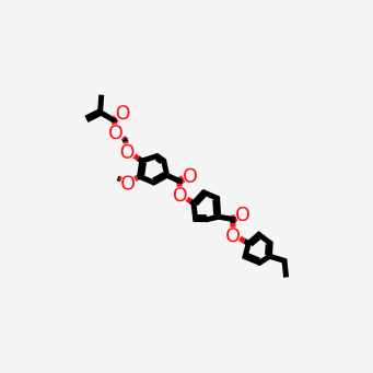 C=C(C)C(=O)OCOc1ccc(C(=O)Oc2ccc(C(=O)Oc3ccc(CC)cc3)cc2)cc1OC